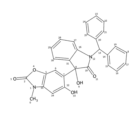 Cn1c(=O)oc2cc(C3(O)C(=O)N(C(c4ccccc4)c4ccccc4)c4ccccc43)c(O)cc21